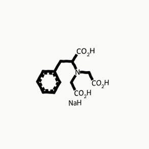 O=C(O)CN(CC(=O)O)C(Cc1ccccc1)C(=O)O.[NaH]